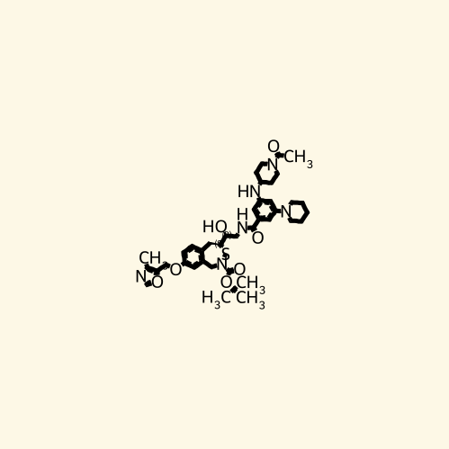 CC(=O)N1CCC(Nc2cc(C(=O)NC[C@@H](O)[C@@H]3Cc4ccc(OCc5ocnc5C)cc4CN(C(=O)OC(C)(C)C)S3)cc(N3CCCCC3)c2)CC1